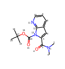 CN(C)C(=O)c1cc2cccnc2n1C(=O)OC(C)(C)C